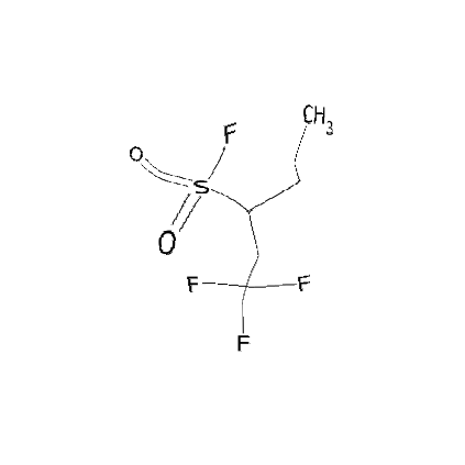 CCC(C(F)(F)F)S(=O)(=O)F